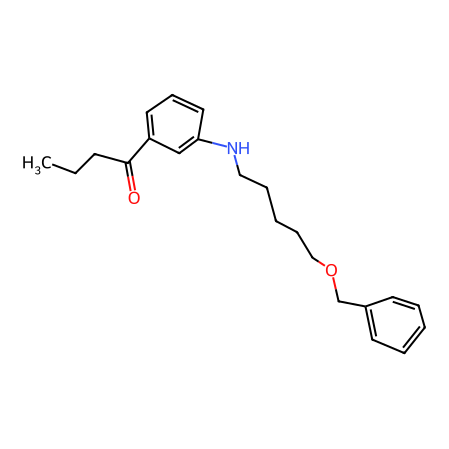 CCCC(=O)c1cccc(NCCCCCOCc2ccccc2)c1